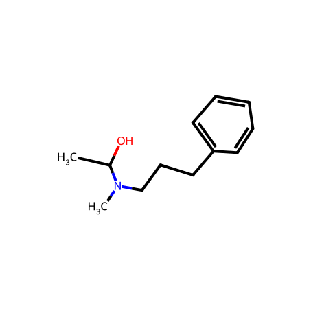 CC(O)N(C)CCCc1ccccc1